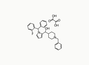 O=C(O)C(=O)O.OC(c1cccn1C(c1ccccc1)c1ccccc1F)C1CCN(Cc2ccccc2)CC1